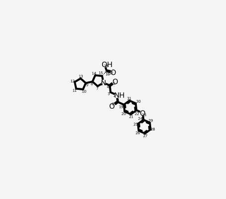 O=C(NCC(=O)N1CC(C2CCCC2)C[C@@H]1C(=O)O)c1ccc(Oc2ccccc2)cc1